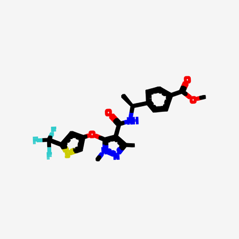 COC(=O)c1ccc([C@H](C)NC(=O)c2c(C)nn(C)c2Oc2csc(C(F)(F)F)c2)cc1